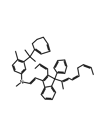 C/C=C\C/C=C\C=C(/C)C1(c2ccccc2)C(/C=C\C)=C(/C=C/N(C)c2ccc(C)c(C(C)(C)C3=CC=CCCC3)c2)c2ccccc21